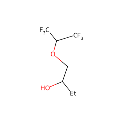 CCC(O)COC(C(F)(F)F)C(F)(F)F